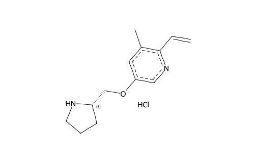 C=Cc1ncc(OC[C@@H]2CCCN2)cc1C.Cl